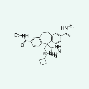 C=C(NCC)c1ccc2c(c1)CCc1cc(C(=O)NCC)ccc1C2(C[C@H](N)C1CCC1)c1nnn[nH]1